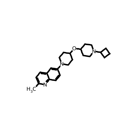 Cc1ccc2cc(N3CCC(OC4CCN(C5CCC5)CC4)CC3)ccc2n1